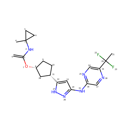 C=C(NC1(C)CC1)O[C@@H]1CC[C@H](c2cc(Nc3cnc(C(C)(F)F)cn3)n[nH]2)C1